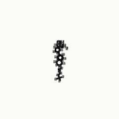 CC(C)(C)CCSC[C@H]1CCc2cc([C@H]3CC[C@](N)(CO)C3)ccc2C1